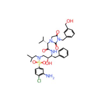 CC(C)CN(C[C@H](O)[C@H](Cc1ccccc1)NC(=O)[C@H](C(C)C)N1CC(=O)N(Cc2cccc(CO)c2)C1=O)S(=O)(=O)c1ccc(Cl)c(N)c1